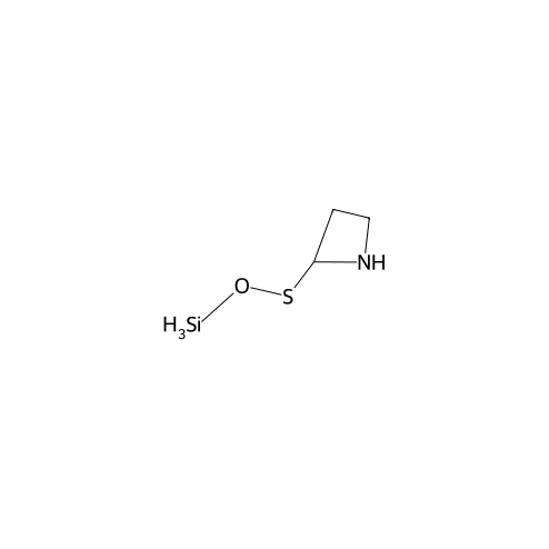 [SiH3]OSC1CCN1